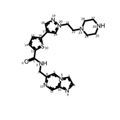 O=C(NCc1cn2ccnc2cn1)c1ccc(-c2cnn(CCN3CCNCC3)c2)s1